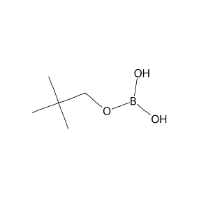 CC(C)(C)COB(O)O